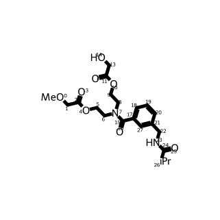 COCC(=O)OCCN(CCOC(=O)CO)C(=O)c1cccc(CNC(=O)C(C)C)c1